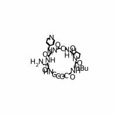 CC(C)(C)[C@@H]1NC(=O)COCCNC(=O)[C@@H](CN)NC(=O)[C@@H](Cc2ccncc2)NC(=O)CNC(=O)[C@@H]2CCCN2C1=O